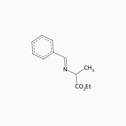 CCOC(=O)C(C)/N=C/c1ccccc1